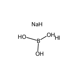 I.OB(O)O.[NaH]